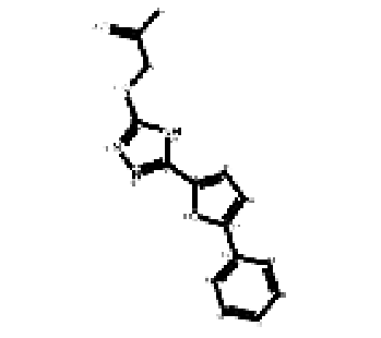 CC(=O)CSc1nnc(-c2ccc(-c3ccccc3)o2)[nH]1